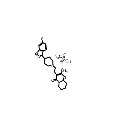 CS(=O)(=O)O.Cc1nc2n(c(=O)c1CCN1CCC(c3noc4cc(F)ccc34)CC1)CCCC2